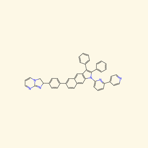 C1=CN2CC(c3ccc(-c4ccc5cc6c(cc5c4)c(-c4ccccc4)c(-c4ccccc4)n6-c4cccc(-c5ccncc5)n4)cc3)N=C2N=C1